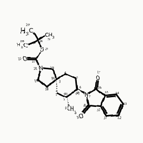 C[C@@H]1C[C@]2(CC[C@H]1N1C(=O)c3ccccc3C1=O)CCN(C(=O)OC(C)(C)C)C2